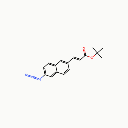 CC(C)(C)OC(=O)/C=C/c1ccc2cc(N=[N+]=[N-])ccc2c1